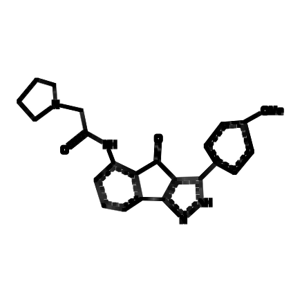 COc1ccc(-c2[nH]nc3c2C(=O)c2c(NC(=O)CN4CCCC4)cccc2-3)cc1